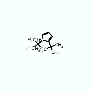 CC(C)(C)C1=CC=C[SiH]1C(C)(C)C